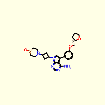 Nc1ncnc2c1c(-c1cccc(OC[C@@H]3CCCO3)c1)cn2C1CC(N2CC[S+]([O-])CC2)C1